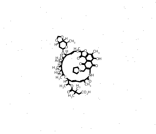 CC(=O)O[C@H]1[C@H](C)[C@H](O)[C@H](C)C[C@@H](C(C)OC(=O)C(C)(C)CC(=O)O)/C=C/C=C(/C)C(=O)NC2=C(CN3CCCC3)C(=O)c3c(c(O)c(C)c4c3C(=O)[C@@](C)(O/C=C/[C@H](O[C@H]3C[C@@H]5OCO[C@@H]5[C@@H](C)O3)[C@H]1C)O4)C2=O